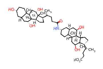 C[C@H](CCC(=O)N[C@H]1CC[C@@]2(C)[C@@H](C1)C[C@@H](O)[C@@H]1[C@@H]2C[C@H](O)[C@]2(C)[C@@H]([C@H](C)CCC(=O)O)CC[C@@H]12)[C@H]1CC[C@H]2[C@@H]3[C@H](O)C[C@@H]4C[C@H](O)CC[C@]4(C)[C@H]3C[C@H](O)C12C